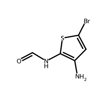 Nc1cc(Br)sc1NC=O